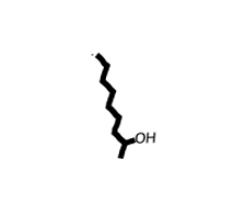 [CH2]CCCCCCC(C)O